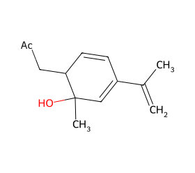 C=C(C)C1=CC(C)(O)C(CC(C)=O)C=C1